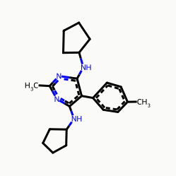 Cc1ccc(-c2c(NC3CCCC3)nc(C)nc2NC2CCCC2)cc1